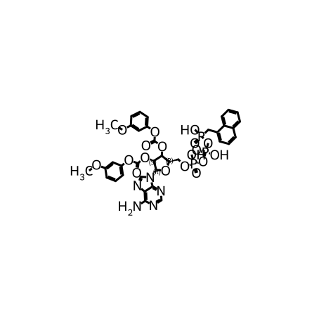 COc1cccc(OC(=O)OC2[C@@H](COP(=O)(O)OP(=O)(O)OP(=O)(O)Cc3cccc4ccccc34)O[C@@H](n3cnc4c(N)ncnc43)[C@H]2OC(=O)Oc2cccc(OC)c2)c1